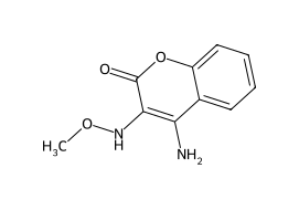 CONc1c(N)c2ccccc2oc1=O